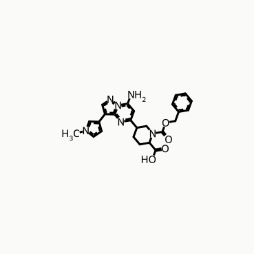 Cn1ccc(-c2cnn3c(N)cc(C4CCC(C(=O)O)N(C(=O)OCc5ccccc5)C4)nc23)c1